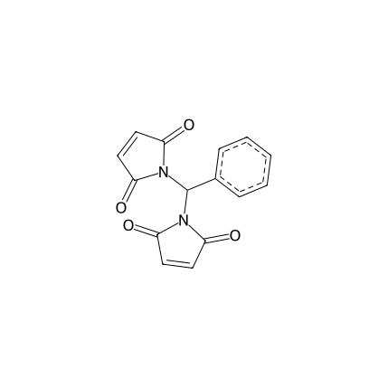 O=C1C=CC(=O)N1C(c1ccccc1)N1C(=O)C=CC1=O